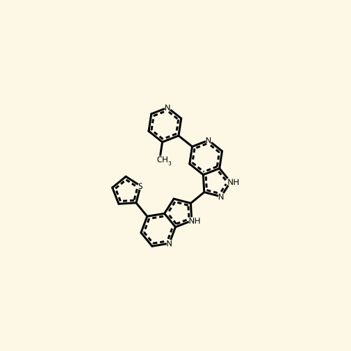 Cc1ccncc1-c1cc2c(-c3cc4c(-c5cccs5)ccnc4[nH]3)n[nH]c2cn1